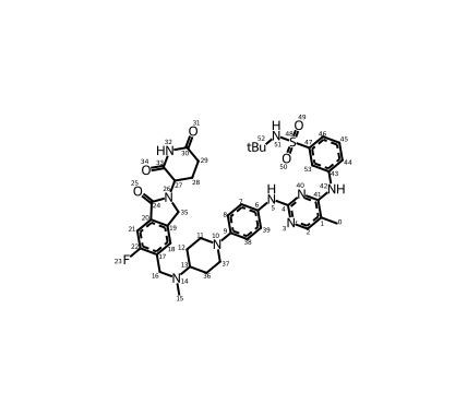 Cc1cnc(Nc2ccc(N3CCC(N(C)Cc4cc5c(cc4F)C(=O)N(C4CCC(=O)NC4=O)C5)CC3)cc2)nc1Nc1cccc(S(=O)(=O)NC(C)(C)C)c1